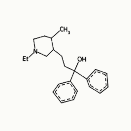 CCN1CCC(C)C(CCC(O)(c2ccccc2)c2ccccc2)C1